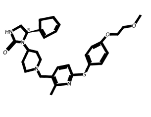 COCCOc1ccc(Sc2ccc(CN3CCC(N4C(=O)NC[C@H]4C4=CC=CCC4)CC3)c(C)n2)cc1